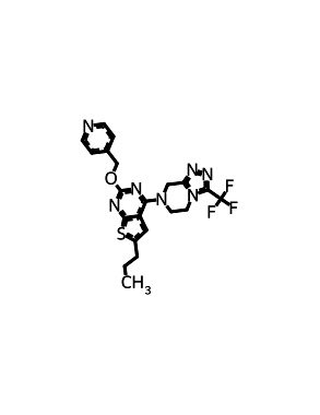 CCCc1cc2c(N3CCn4c(nnc4C(F)(F)F)C3)nc(OCc3ccncc3)nc2s1